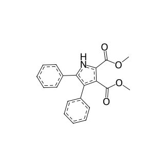 COC(=O)c1[nH]c(-c2ccccc2)c(-c2ccccc2)c1C(=O)OC